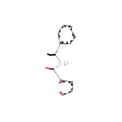 C=C(NC(=O)c1ccco1)c1ccccc1